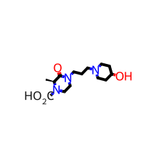 C[C@H]1C(=O)N(CCCN2CCC(O)CC2)CCN1C(=O)O